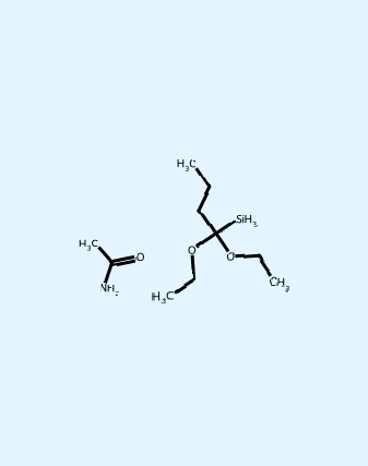 CC(N)=O.CCCC([SiH3])(OCC)OCC